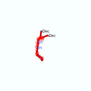 CCCCCCCCCCCCCCCCCC(=O)OCC(COP(=O)(O)OCCNC(=O)OCCOCC(=O)NCCOCCOCC1Oc2ccc(-c3ccc(C4=Nc5cc(C)ccc5OC4)cc3)cc2O1)OC(=O)CCCCCCCCCCCCCCCCC